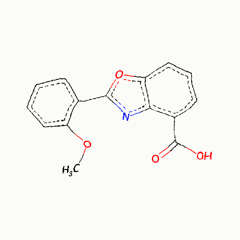 COc1ccccc1-c1nc2c(C(=O)O)cccc2o1